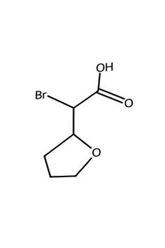 O=C(O)C(Br)C1CCCO1